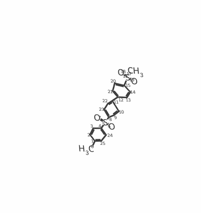 Cc1ccc(S(=O)(=O)c2ccc(-c3ccc(S(C)(=O)=O)cc3)cc2)cc1